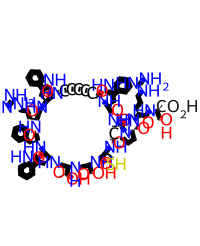 C[C@@H](O)[C@@H]1NC(=O)[C@H](CS)NC(=O)C[C@@H](C(=O)N2CCC[C@H]2C(=O)N[C@@H](CCCNC(=N)N)C(=O)N[C@@H](CO)C(=O)O)NC(=O)[C@H](Cc2c[nH]c3ccccc23)NC(=O)CCCCCNC(=O)[C@H](Cc2c[nH]c3ccccc23)NC(=O)[C@H](CCCNC(=N)N)NC(=O)[C@H](Cc2ccccc2)NC(=O)[C@H](Cc2c[nH]c3ccccc23)NC(=O)[C@H]([C@@H](C)O)NC1=O